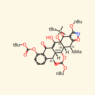 CCCCOC(=O)O[C@H]1[C@H]2C(=C(O)[C@]3(O[Si](C)(C)C(C)(C)C)C(=O)c4c(OCCCC)noc4[C@@H](NC)[C@H]13)C(=O)c1c(OC(=O)OC(C)(C)C)cccc1[C@@H]2C